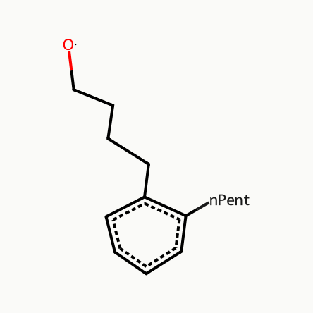 CCCCCc1ccccc1CCCC[O]